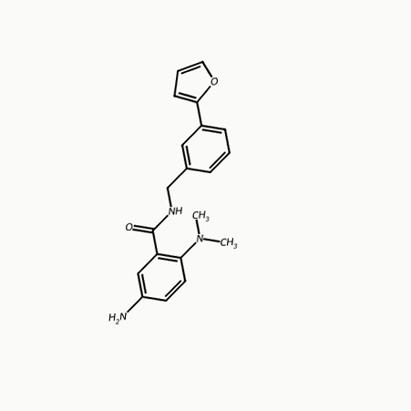 CN(C)c1ccc(N)cc1C(=O)NCc1cccc(-c2ccco2)c1